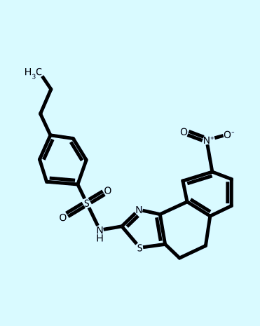 CCCc1ccc(S(=O)(=O)Nc2nc3c(s2)CCc2ccc([N+](=O)[O-])cc2-3)cc1